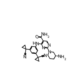 N#CC1(c2cc(Nc3nc(N4CCC[C@H](N)C4)ncc3C(N)=O)cc(C3(C#N)CC3)c2)CC1